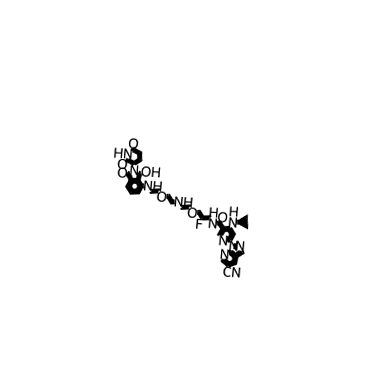 N#Cc1cnc2c(cnn2-c2cc(NC3CC3)c(C(=O)NCC(F)COCCNCCOCCNc3cccc4c3C(O)N(C3CCC(=O)NC3=O)C4=O)cn2)c1